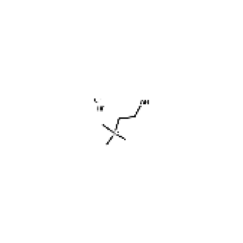 C[N+](C)(C)CCO.F.[Cl-]